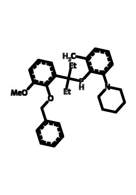 CCC(CC)(Pc1c(C)cccc1N1CCCCC1)c1cccc(OC)c1OCc1ccccc1